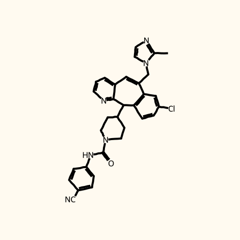 Cc1nccn1CC1=Cc2cccnc2C(C2CCN(C(=O)Nc3ccc(C#N)cc3)CC2)c2ccc(Cl)cc21